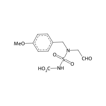 COc1ccc(CN(CC=O)S(=O)(=O)NC(=O)O)cc1